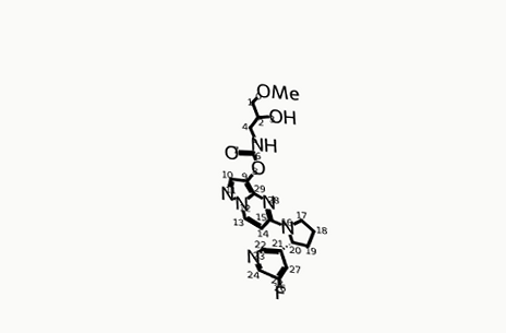 COCC(O)CNC(=O)Oc1cnn2ccc(N3CCC[C@@H]3c3cncc(F)c3)nc12